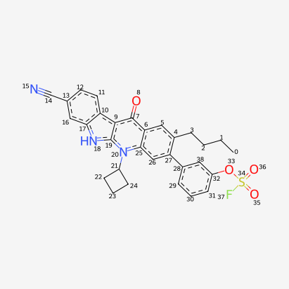 CCCCc1cc2c(=O)c3c4ccc(C#N)cc4[nH]c3n(C3CCC3)c2cc1-c1cccc(OS(=O)(=O)F)c1